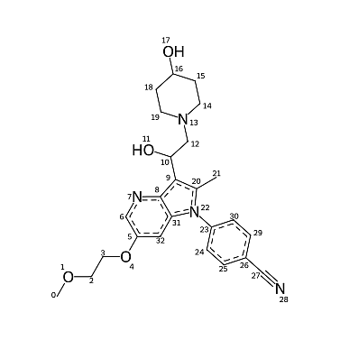 COCCOc1cnc2c(C(O)CN3CCC(O)CC3)c(C)n(-c3ccc(C#N)cc3)c2c1